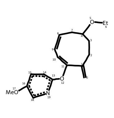 C=C1CCC(OCC)C/C=C\C=C/1Oc1ccc(OC)cn1